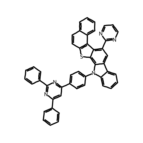 c1ccc(-c2cc(-c3ccc(-n4c5ccccc5c5cc(-c6ncccn6)c6c(sc7ccc8ccccc8c76)c54)cc3)nc(-c3ccccc3)n2)cc1